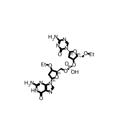 CCOC[C@H]1O[C@@H](n2cnc(N)nc2=O)CC1OP(=O)(O)OC[C@H]1O[C@@H](n2cnc3c(=O)[nH]c(N)nc32)CC1OCC